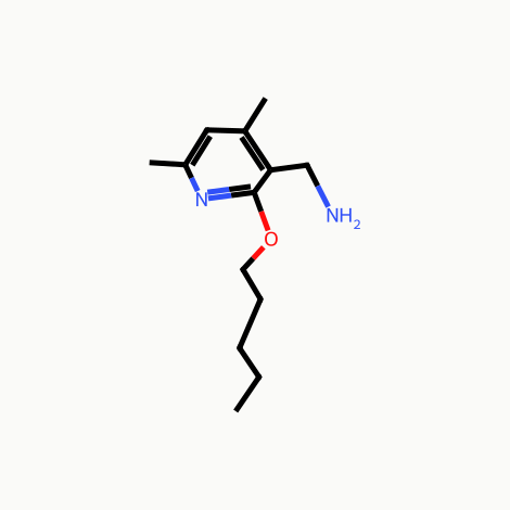 CCCCCOc1nc(C)cc(C)c1CN